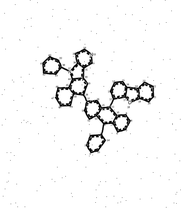 c1ccc(-c2c3ccccc3c(-c3cccc4c3oc3ccccc34)c3cc(-c4cc5c6cnccc6n(-c6ccccc6)c5c5ccccc45)ccc23)cc1